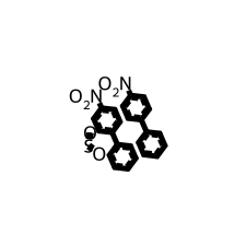 O=S=O.O=[N+]([O-])c1ccc(-c2ccccc2)cc1.O=[N+]([O-])c1ccc(-c2ccccc2)cc1